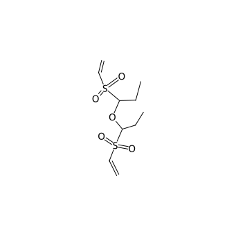 C=CS(=O)(=O)C(CC)OC(CC)S(=O)(=O)C=C